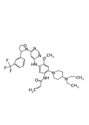 C=CC(=O)Nc1cc(Nc2cc(N3OCCC3c3cccc(C(F)(F)F)c3)ncn2)c(OC)cc1N1CCC(N(CC)CC)CC1